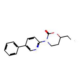 COCC1CCN(c2ccc(-c3ccccc3)cn2)C(=O)O1